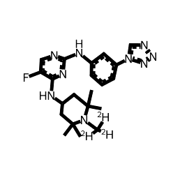 [2H]C([2H])([2H])N1C(C)(C)CC(Nc2nc(Nc3cccc(-n4cnnn4)c3)ncc2F)CC1(C)C